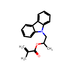 C=C(C)C(=O)OC(C)Cn1c2ccccc2c2ccccc21